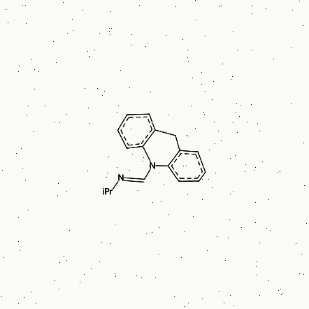 CC(C)N=CN1c2ccccc2Cc2ccccc21